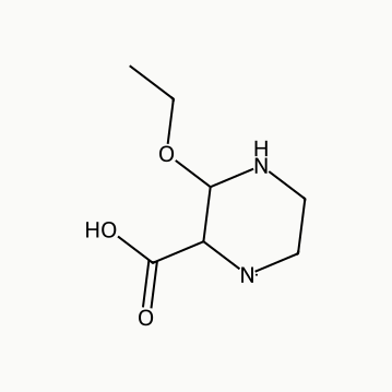 CCOC1NCC[N]C1C(=O)O